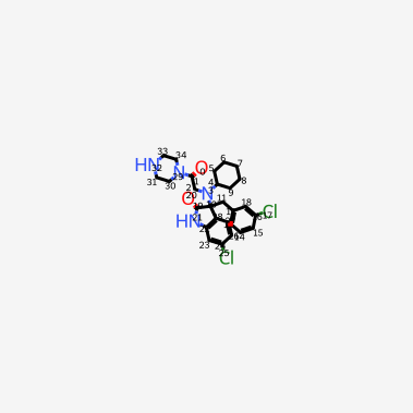 O=C(CN(C1CCCCC1)C1(Cc2cccc(Cl)c2)C(=O)Nc2cc(Cl)ccc21)N1CCNCC1